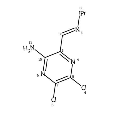 CC(C)N=Cc1nc(Cl)c(Cl)nc1N